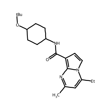 CCc1cc(C)nc2c(C(=O)NC3CCC(OC(C)(C)C)CC3)ccn12